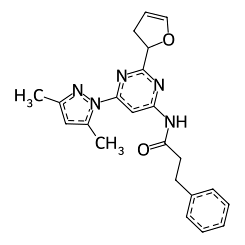 Cc1cc(C)n(-c2cc(NC(=O)CCc3ccccc3)nc(C3CC=CO3)n2)n1